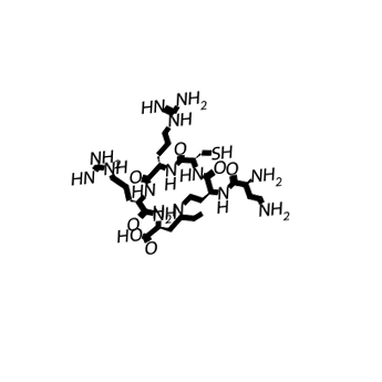 CCCC[C@H](NC(=O)[C@H](CCCNC(=N)N)NC(=O)[C@H](CCCNC(=N)N)NC(=O)[C@H](CS)NC(=O)[C@H](CCN)NC(=O)[C@@H](N)CCN)C(=O)O